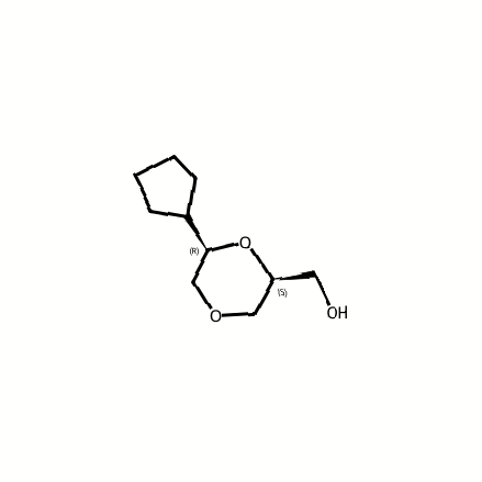 OC[C@H]1COC[C@@H](C2CCCC2)O1